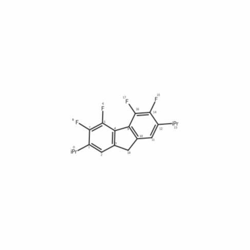 CC(C)c1cc2c(c(F)c1F)-c1c(cc(C(C)C)c(F)c1F)C2